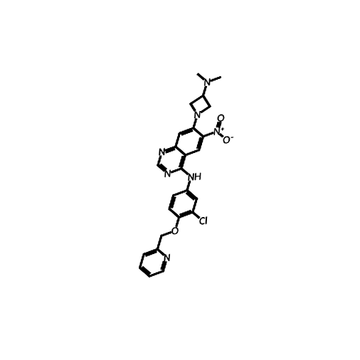 CN(C)C1CN(c2cc3ncnc(Nc4ccc(OCc5ccccn5)c(Cl)c4)c3cc2[N+](=O)[O-])C1